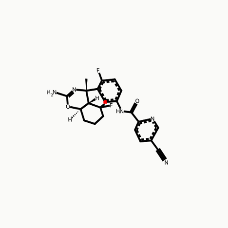 C[C@]1(c2cc(NC(=O)c3ccc(C#N)cn3)ccc2F)N=C(N)O[C@@H]2CCCC(F)(F)[C@H]21